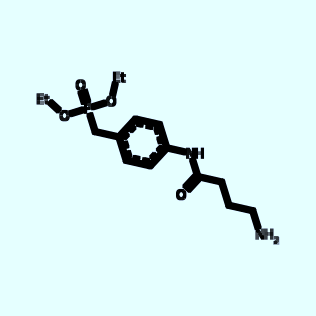 CCOP(=O)(Cc1ccc(NC(=O)CCCN)cc1)OCC